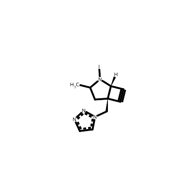 CC1C[C@@]2(Cn3ccnn3)C#C[C@H]2N1I